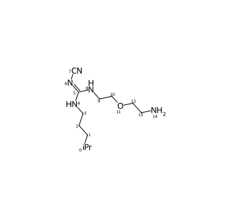 CC(C)CCCN/C(=N/C#N)NCCOCCN